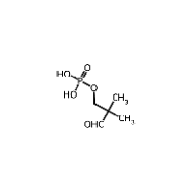 CC(C)(C=O)COP(=O)(O)O